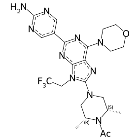 CC(=O)N1[C@H](C)CN(c2nc3c(N4CCOCC4)nc(-c4cnc(N)nc4)nc3n2CC(F)(F)F)C[C@@H]1C